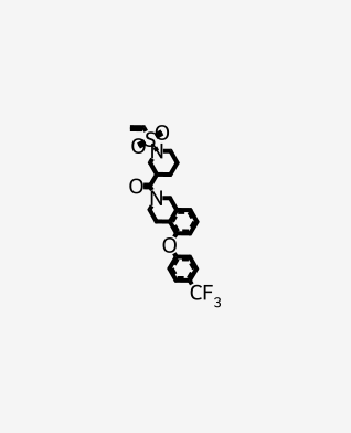 C=CS(=O)(=O)N1CCCC(C(=O)N2CCc3c(cccc3Oc3ccc(C(F)(F)F)cc3)C2)C1